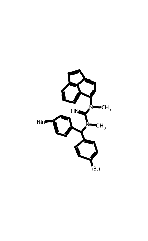 CCC(C)c1ccc(C(c2ccc(C(C)(C)C)cc2)N(C)C(=N)N(C)c2ccc3c4c(cccc24)C=C3)cc1